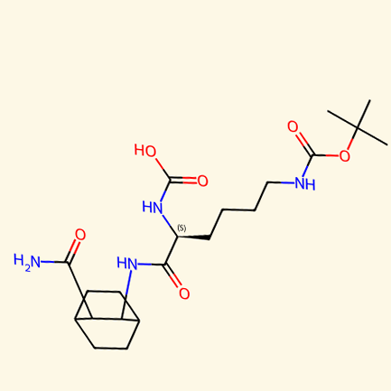 CC(C)(C)OC(=O)NCCCC[C@H](NC(=O)O)C(=O)NC1C2CCC(CC2)C1C(N)=O